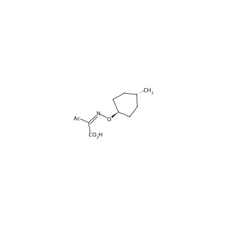 CC(=O)/C(=N/O[C@H]1CC[C@H](C)CC1)C(=O)O